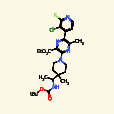 CCOC(=O)c1nc(-c2ccnc(F)c2Cl)c(C)nc1N1CCC(C)(C(C)NC(=O)OC(C)(C)C)CC1